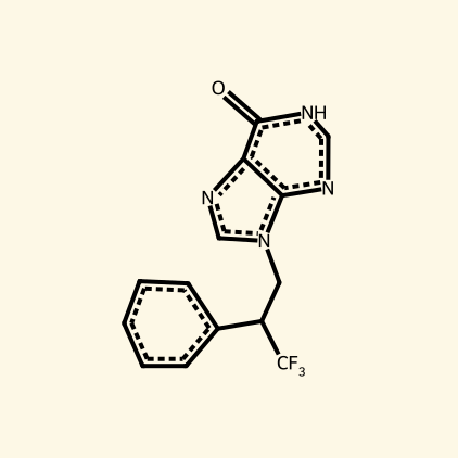 O=c1[nH]cnc2c1ncn2CC(c1ccccc1)C(F)(F)F